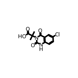 CC(C)(C(=O)O)n1c(=O)[nH]c2ccc(Cl)cc2c1=O